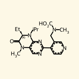 CC[C@@H]1C(=O)N(C)c2cnc(-c3ccncc3CN(C)C(=O)O)nc2N1C(C)C